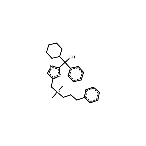 C[N+](C)(CCCc1ccccc1)Cc1cnc(C(O)(c2ccccc2)C2CCCCC2)o1